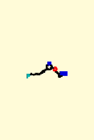 FCCCCC#Cc1cncc(OCC2CCN2)c1